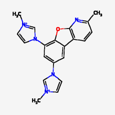 Cc1ccc2c(n1)oc1c(-n3cc[n+](C)c3)cc(-n3cc[n+](C)c3)cc12